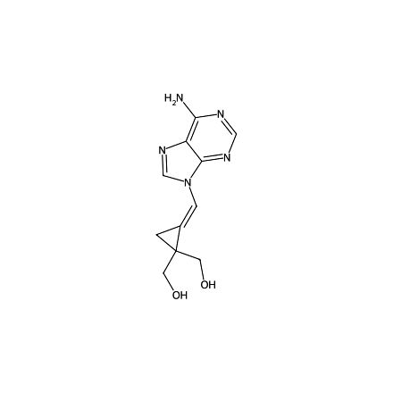 Nc1ncnc2c1ncn2/C=C1\CC1(CO)CO